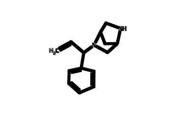 C=CC(c1ccccc1)N1CC2C[C]1CN2